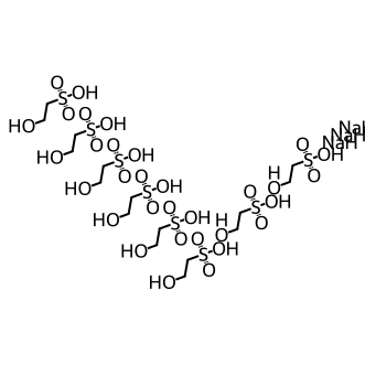 O=S(=O)(O)CCO.O=S(=O)(O)CCO.O=S(=O)(O)CCO.O=S(=O)(O)CCO.O=S(=O)(O)CCO.O=S(=O)(O)CCO.O=S(=O)(O)CCO.O=S(=O)(O)CCO.[NaH].[NaH].[NaH]